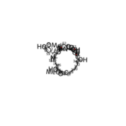 CO[C@@H]1C[C@H](C[C@@H](C)[C@@H]2C/C(=N/I)[C@H](C)/C=C(\C)[C@@H](O)[C@@H](OC)C(=O)[C@H](C)C[C@H](C)/C=C/C=C/C=C(\C)[C@@H](O)C[C@@H]3CC[C@@H](C)[C@@](O)(O3)C(=O)C(=O)N3CCCC[C@H]3C(=O)O2)CC[C@H]1O